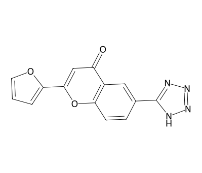 O=c1cc(-c2ccco2)oc2ccc(-c3nnn[nH]3)cc12